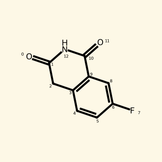 O=C1Cc2ccc(F)cc2C(=O)N1